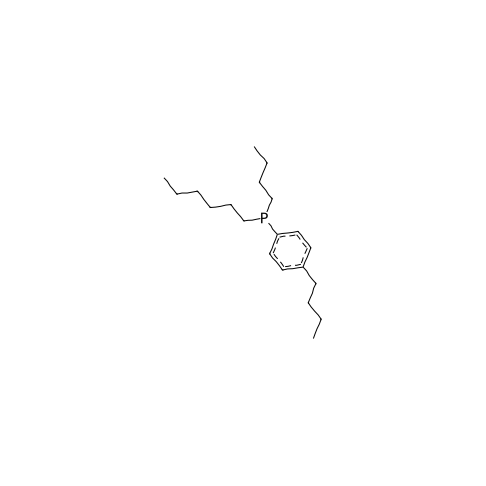 CCCCCCP(CCCC)c1ccc(CCCC)cc1